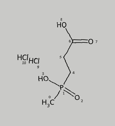 CP(=O)(O)CCC(=O)O.Cl.Cl